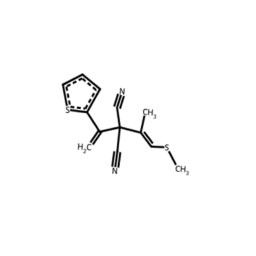 C=C(c1cccs1)C(C#N)(C#N)C(C)=CSC